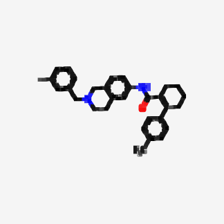 Cc1cccc(CN2CCc3cc(NC(=O)C4=C(c5ccc(C(F)(F)F)cc5)CCCC4)ccc3C2)c1